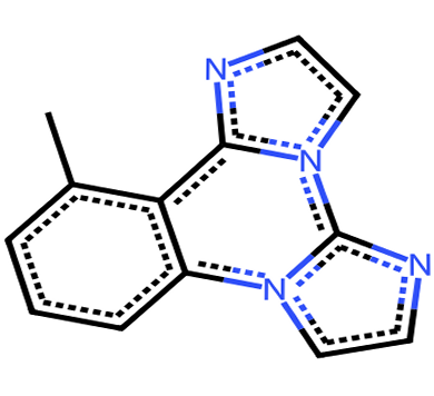 Cc1cccc2c1c1nccn1c1nccn21